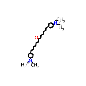 CCN(CC)c1ccc(/C=C/C=C/C=C/C(=O)/C=C/CC/C=C/c2ccc(N(CC)CC)cc2)cc1